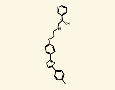 Cc1ccc(-c2csc(-c3ccc(OCCNC[C@H](O)c4cccnc4)cc3)n2)cc1